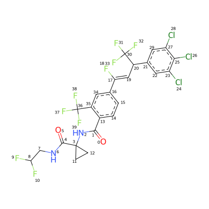 O=C(NC1(C(=O)NCC(F)F)CC1)c1ccc(C(F)=CC(c2cc(Cl)c(Cl)c(Cl)c2)C(F)(F)F)cc1C(F)(F)F